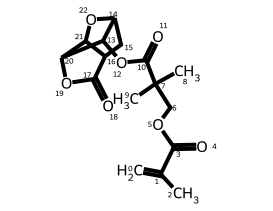 C=C(C)C(=O)OCC(C)(C)C(=O)OC1C2CC3C(=O)OC1C3O2